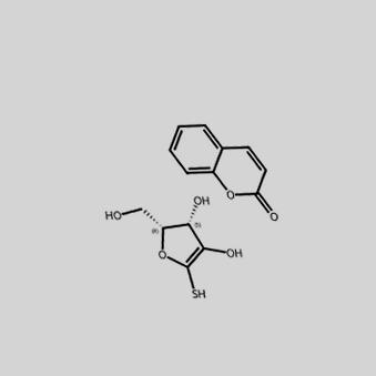 O=c1ccc2ccccc2o1.OC[C@H]1OC(S)=C(O)[C@H]1O